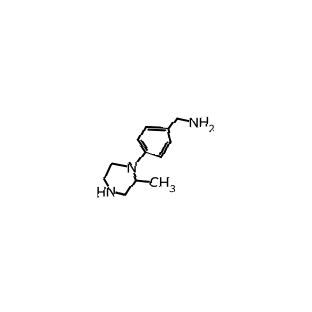 CC1CNCCN1c1ccc(CN)cc1